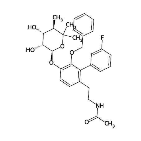 CC(=O)NCCc1ccc(O[C@@H]2OC(C)(C)[C@H](C)[C@@H](O)[C@H]2O)c(OCc2ccccc2)c1-c1cccc(F)c1